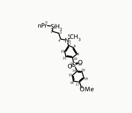 CCC[SiH2]CCCN(C)c1ccc(S(=O)(=O)c2ccc(OC)cc2)cc1